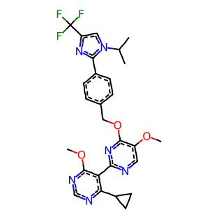 COc1cnc(-c2c(OC)ncnc2C2CC2)nc1OCc1ccc(-c2nc(C(F)(F)F)cn2C(C)C)cc1